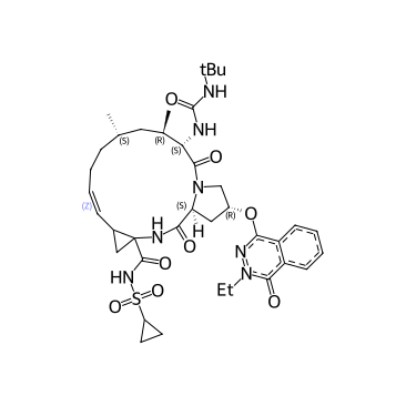 CCn1nc(O[C@@H]2C[C@H]3C(=O)NC4(C(=O)NS(=O)(=O)C5CC5)CC4/C=C\CC[C@H](C)C[C@@H](C)[C@H](NC(=O)NC(C)(C)C)C(=O)N3C2)c2ccccc2c1=O